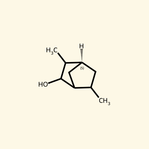 CC1C[C@H]2CC1C(O)C2C